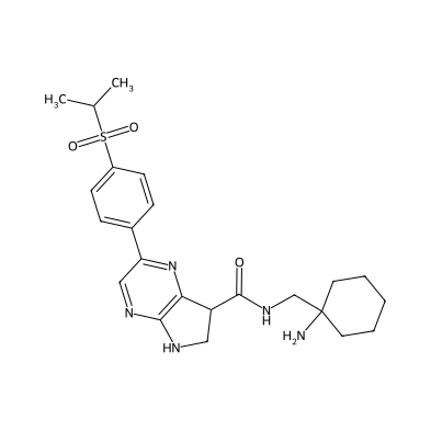 CC(C)S(=O)(=O)c1ccc(-c2cnc3c(n2)C(C(=O)NCC2(N)CCCCC2)CN3)cc1